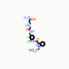 NC(O)CCNCC(=O)NCc1ccc(NC(=O)c2nn(CC(=O)O)c3ccccc23)c(Cl)c1F